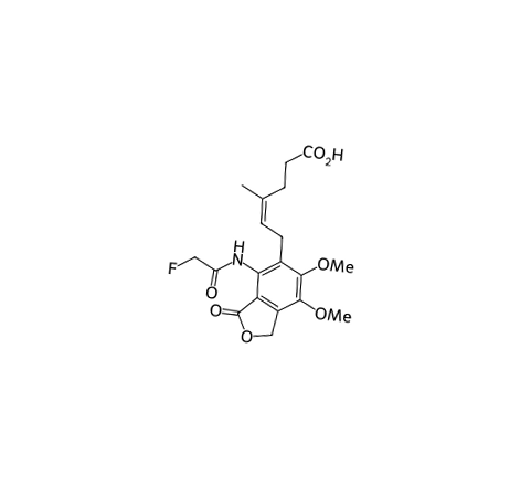 COc1c(CC=C(C)CCC(=O)O)c(NC(=O)CF)c2c(c1OC)COC2=O